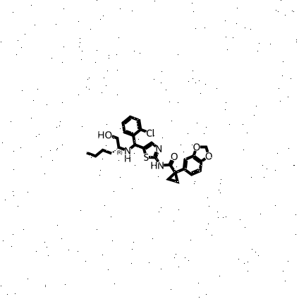 CCCC[C@H](CO)NC(c1cnc(NC(=O)C2(c3ccc4c(c3)OCO4)CC2)s1)c1ccccc1Cl